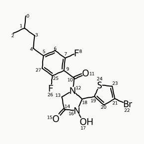 CC(C)CCc1cc(F)c(C(=O)N2CC(=O)N(O)C2c2cc(Br)cs2)c(F)c1